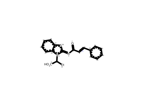 CCC(C(=O)O)n1c(=NC(=O)/C=C/c2ccccc2)sc2ccccc21